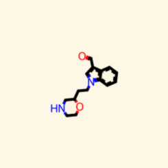 O=Cc1cn(CCC2CNCCO2)c2ccccc12